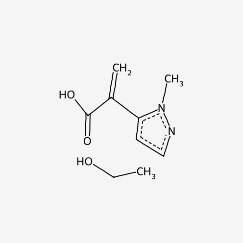 C=C(C(=O)O)c1ccnn1C.CCO